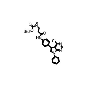 CN(CCC(=O)Nc1ccc(-c2cn(-c3ccccc3)c3ncnc(Cl)c23)cc1)C(=O)OC(C)(C)C